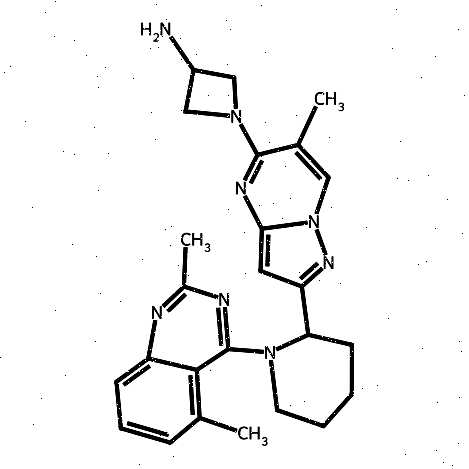 Cc1nc(N2CCCCC2c2cc3nc(N4CC(N)C4)c(C)cn3n2)c2c(C)cccc2n1